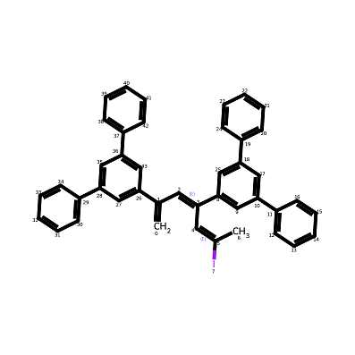 C=C(/C=C(\C=C(/C)I)c1cc(-c2ccccc2)cc(-c2ccccc2)c1)c1cc(-c2ccccc2)cc(-c2ccccc2)c1